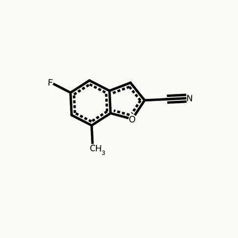 Cc1cc(F)cc2cc(C#N)oc12